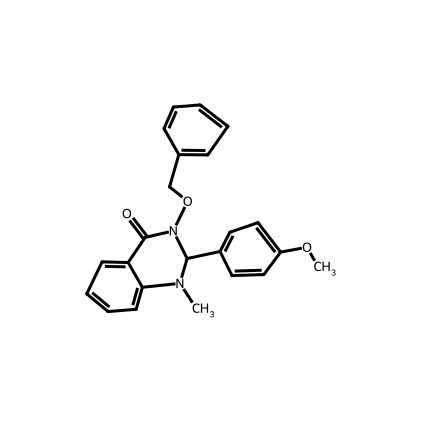 COc1ccc(C2N(OCc3ccccc3)C(=O)c3ccccc3N2C)cc1